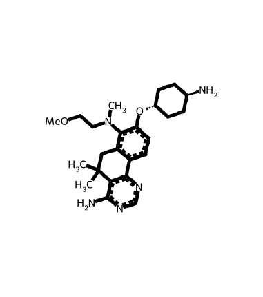 COCCN(C)c1c(O[C@H]2CC[C@H](N)CC2)ccc2c1CC(C)(C)c1c(N)ncnc1-2